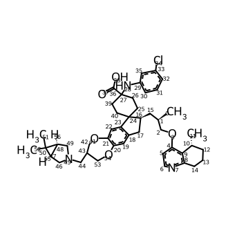 C[C@@H](COc1ccnc2c1[C@H](C)CCC2)C[C@H]1Cc2cc3c(cc2C12CCC(Nc1cccc(Cl)c1)(C(=O)O)CC2)OCC(CN1C[C@@H]2[C@H](C1)C2(C)C)CO3